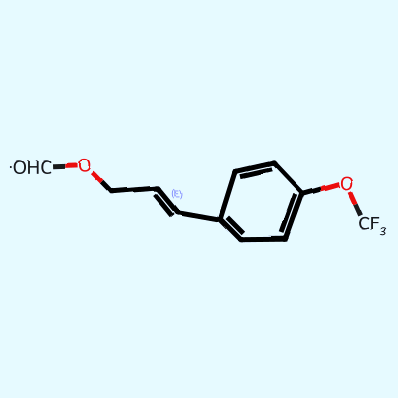 O=[C]OC/C=C/c1ccc(OC(F)(F)F)cc1